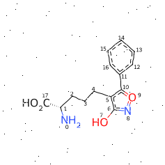 N[C@@H](CCCc1c(O)noc1-c1ccccc1)C(=O)O